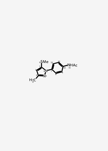 CSc1cc(C)nn1-c1ccc(NC(C)=O)cc1